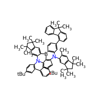 Cc1cc2c(cc1N1c3cc(-c4cccc5c4-c4ccccc4C5(C)C)ccc3B3c4cc5c(cc4N(c4ccc(C(C)(C)C)cc4-c4ccccc4)c4cc(C(C)(C)C)cc1c43)C(C)(C)CC5(C)C)C(C)(C)CC2(C)C